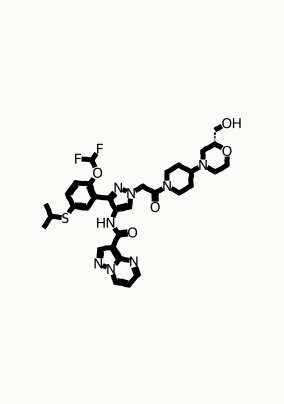 CC(C)Sc1ccc(OC(F)F)c(-c2nn(CC(=O)N3CCC(N4CCO[C@@H](CO)C4)CC3)cc2NC(=O)c2cnn3cccnc23)c1